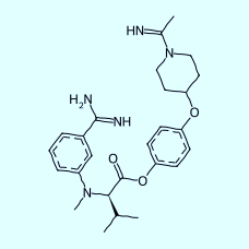 CC(=N)N1CCC(Oc2ccc(OC(=O)[C@@H](C(C)C)N(C)c3cccc(C(=N)N)c3)cc2)CC1